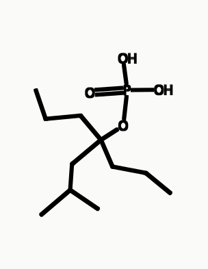 CCCC(CCC)(CC(C)C)OP(=O)(O)O